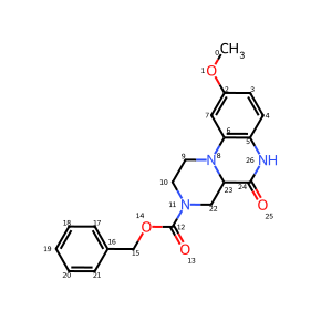 COc1ccc2c(c1)N1CCN(C(=O)OCc3ccccc3)CC1C(=O)N2